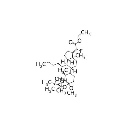 CCCC[C@@H]1C=C2CC(OC)(O[Si](C)(C)C(C)(C)C)CC[C@]2(C)[C@H]2CC[C@]3(C)C(=C(F)C(=O)OCC)CC[C@H]3[C@H]12